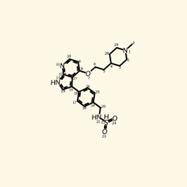 CN1CCC(CCOc2ccnc3[nH]cc(-c4ccc(CN[SH](=O)=O)cc4)c23)CC1